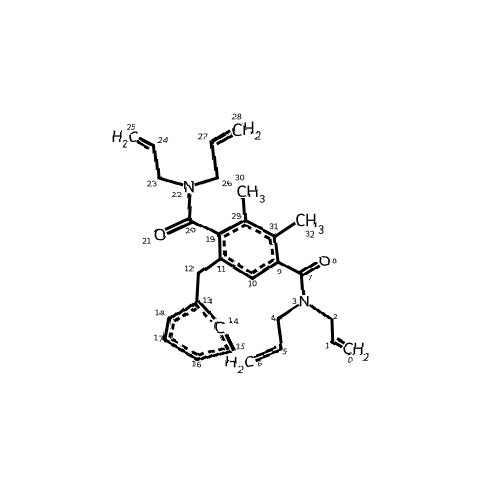 C=CCN(CC=C)C(=O)c1cc(Cc2ccccc2)c(C(=O)N(CC=C)CC=C)c(C)c1C